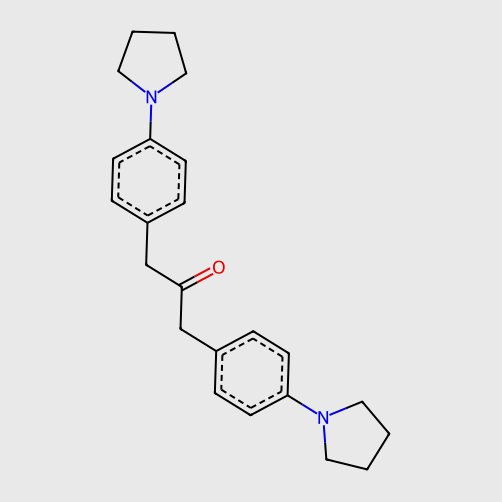 O=C(Cc1ccc(N2CCCC2)cc1)Cc1ccc(N2CCCC2)cc1